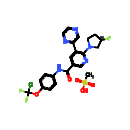 CS(=O)(=O)O.O=C(Nc1ccc(OC(F)(F)Cl)cc1)c1cnc(N2CC[C@@H](F)C2)c(-c2cnccn2)c1